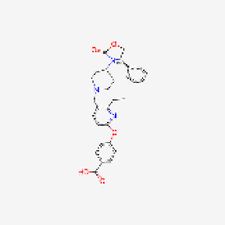 CCc1nc(Oc2ccc(C(=O)O)cc2)ccc1CN1CCC(N2C(=O)OC[C@H]2c2ccccc2)CC1